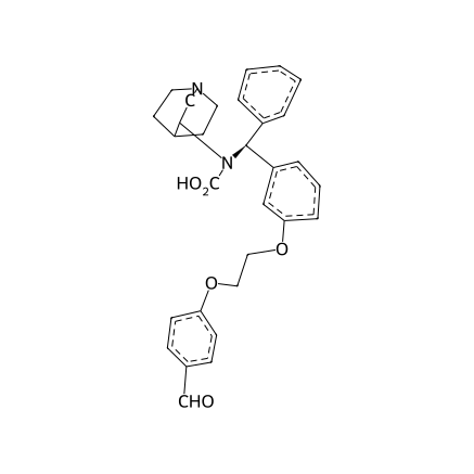 O=Cc1ccc(OCCOc2cccc([C@H](c3ccccc3)N(C(=O)O)C3CN4CCC3CC4)c2)cc1